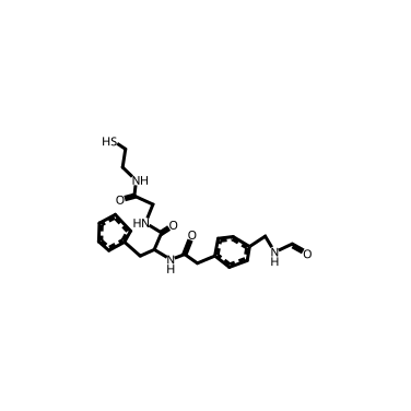 O=CNCc1ccc(CC(=O)NC(Cc2ccccc2)C(=O)NCC(=O)NCCS)cc1